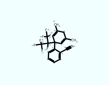 CC1=CC(c2ccccc2C#N)(C(F)(C(F)(F)F)C(F)(F)F)C=C(C)[CH]1